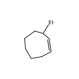 C[CH]C1/C=C\CCCCC1